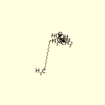 CCCCCCCCCCCCCCCC/C=C\CCCCC(O)(C[N+](C)(C)C)P(=O)(O)O